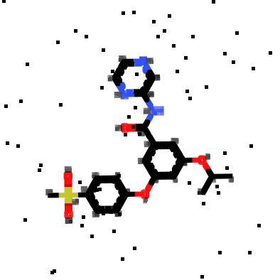 CC(C)Oc1cc(Oc2ccc(S(C)(=O)=O)cc2)cc(C(=O)Nc2cnccn2)c1